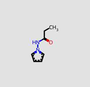 CCC(=O)Nn1cccc1